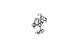 C#Cc1c(F)ccc2cc(O)cc(-c3c(NC(C)=O)cc4c(N5C[C@H]6CC[C@@H](C5)N6)nc(OC[C@@]56CCCN5C[C@@]5(CC5(F)F)C6)nc4c3F)c12